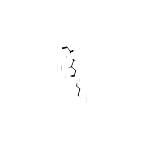 C=CC(=O)OC(=O)C(O)CC(=O)OCCCO